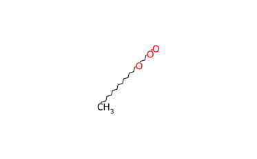 CCCCCCCCCCCCCCOCCCOC=O